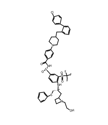 O=C(N[S+]([O-])c1ccc(N[C@@H](CSc2ccccc2)CC2CCN2CCO)c(S(=O)(=O)C(F)(F)F)c1)c1ccc(N2CCC(Cc3ccccc3-c3ccc(Cl)cc3)CC2)cc1